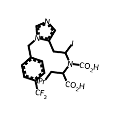 CC(C)CC(C(=O)O)N(C(=O)O)C(I)Cc1cncn1Cc1ccc(C(F)(F)F)cc1